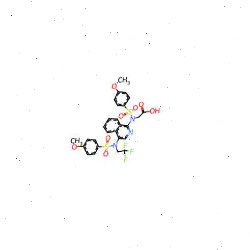 COc1ccc(S(=O)(=O)N(CC(F)(F)F)c2cnc(N(CC(=O)O)S(=O)(=O)c3ccc(OC)cc3)c3ccccc23)cc1